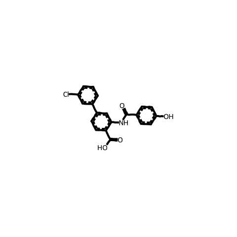 O=C(Nc1cc(-c2cccc(Cl)c2)ccc1C(=O)O)c1ccc(O)cc1